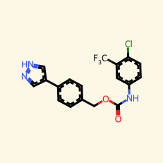 O=C(Nc1ccc(Cl)c(C(F)(F)F)c1)OCc1ccc(-c2cn[nH]c2)cc1